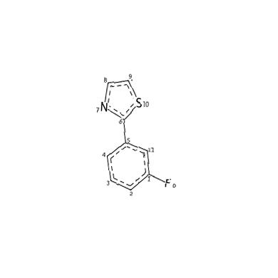 Fc1cccc(-c2nc[c]s2)c1